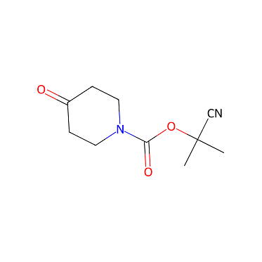 CC(C)(C#N)OC(=O)N1CCC(=O)CC1